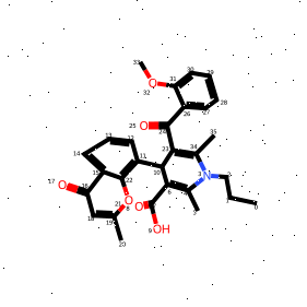 CCCN1C(C)=C(C(=O)O)C(c2cccc3c(=O)cc(C)oc23)C(C(=O)c2ccccc2OC)=C1C